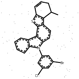 CC1CC=Cc2sc3c(ccc4c3c3ccccc3n4-c3cc(Cl)cc(Br)c3)c21